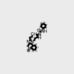 CCCc1nc2c[n+]([O-])c3ccccc3c2n1CCCCNC(=O)Nc1ccccc1